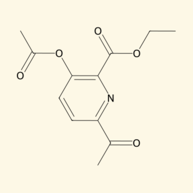 CCOC(=O)c1nc(C(C)=O)ccc1OC(C)=O